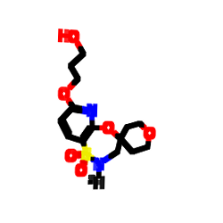 [2H]N1CC2(CCOCC2)Oc2nc(OCCCO)ccc2S1(=O)=O